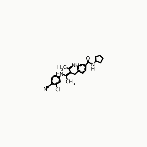 CC(=N)/C(Cc1ccc(C(=O)NC2CCCC2)cc1)=C(/C)Nc1ccc(C#N)c(Cl)c1